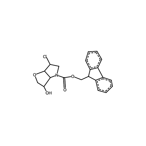 O=C(OCC1c2ccccc2-c2ccccc21)N1CC(Cl)C2OCC(O)C21